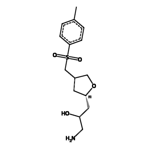 Cc1ccc(S(=O)(=O)CC2CO[C@H](CC(O)CN)C2)cc1